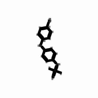 CS(C)(=O)=Nc1ccc(Oc2ccc(Br)cc2)cc1